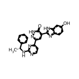 C[C@@H](Nc1nccc(-c2cc(-c3nc4ccc(O)cc4[nH]3)c(=O)[nH]n2)n1)c1ccccc1